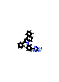 c1ccc(-c2cc3c(n2-c2cccc(C4=NNNN4)c2)CCc2ccccc2-3)cc1